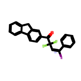 O=C(c1ccc2c(c1)Cc1ccccc1-2)C(F)(F)/C=C(/I)c1ccccc1